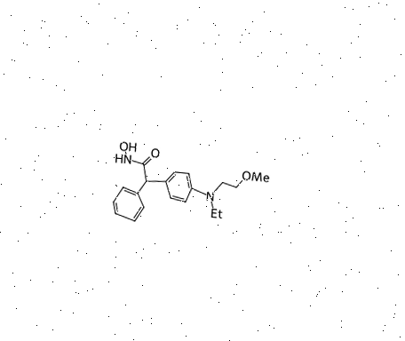 CCN(CCOC)c1ccc(C(C(=O)NO)c2ccccc2)cc1